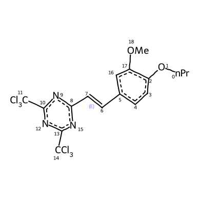 CCCOc1ccc(/C=C/c2nc(C(Cl)(Cl)Cl)nc(C(Cl)(Cl)Cl)n2)cc1OC